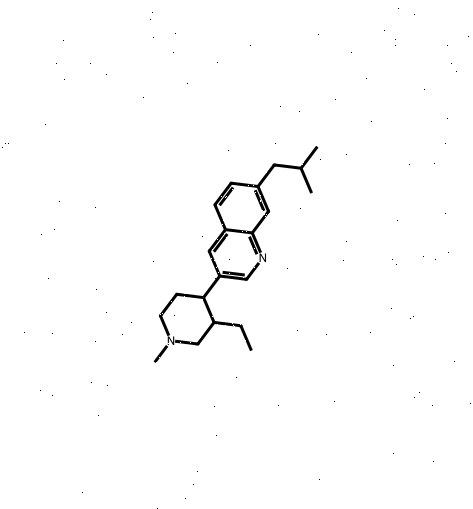 CCC1CN(C)CCC1c1cnc2cc(CC(C)C)ccc2c1